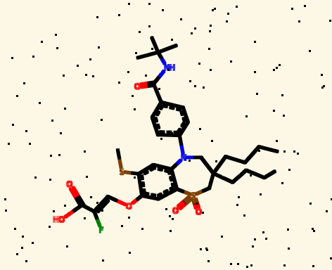 CCCCC1(CCCC)CN(c2ccc(C(=O)NC(C)(C)C)cc2)c2cc(SC)c(O/C=C(\F)C(=O)O)cc2S(=O)(=O)C1